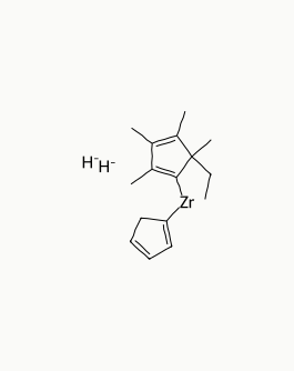 CCC1(C)C(C)=C(C)C(C)=[C]1[Zr][C]1=CC=CC1.[H-].[H-]